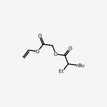 C=COC(=O)COC(=O)C(CC)CCCC